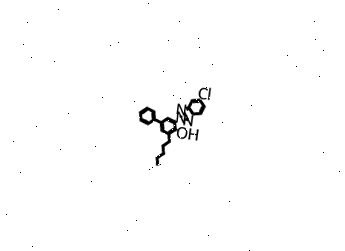 CCCCCc1cc(-c2ccccc2)cc(-n2nc3ccc(Cl)cc3n2)c1O